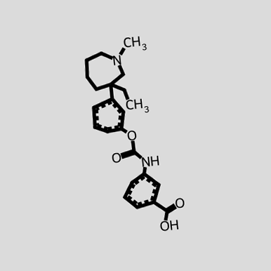 CCC1(c2cccc(OC(=O)Nc3cccc(C(=O)O)c3)c2)CCCCN(C)C1